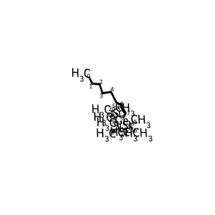 CCCCCC/C=[CH]\[Ge]([Si](C)(C)C)([Si](C)(C)C)[Si](C)(C)C